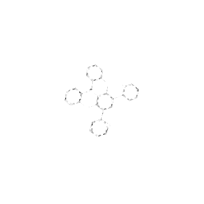 S=P12c3ccccc3Oc3c(-c4ccccn4)cc(-c4ccccn4)c(c31)Oc1ccccc12